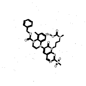 Cc1cccc2c1N(C(=O)OCc1ccccc1)CCN2c1cc2cnc(S(C)(=O)=O)nc2n(CCCN(C)C(=O)OC(C)(C)C)c1=O